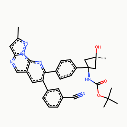 Cc1cc2ncc3cc(-c4cccc(C#N)c4)c(-c4ccc([C@]5(NC(=O)OC(C)(C)C)C[C@@](C)(O)C5)cc4)nc3n2n1